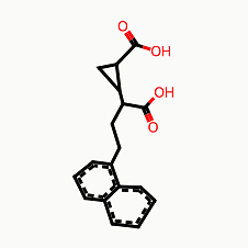 O=C(O)C(CCc1cccc2ccccc12)C1CC1C(=O)O